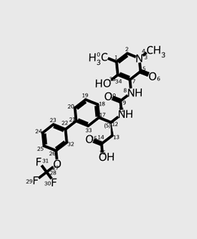 Cc1cn(C)c(=O)c(NC(=O)N[C@@H](CC(=O)O)c2cccc(-c3cccc(OC(F)(F)F)c3)c2)c1O